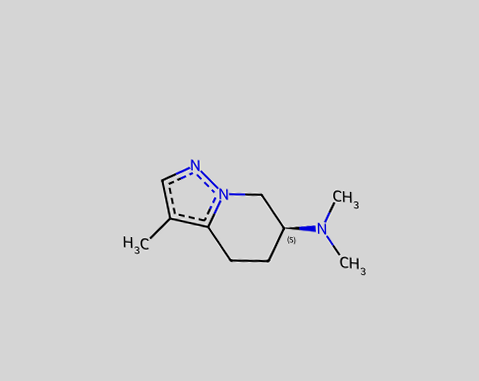 Cc1cnn2c1CC[C@H](N(C)C)C2